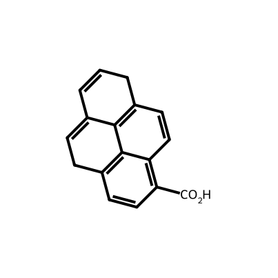 O=C(O)c1ccc2c3c4c(ccc13)CC=CC4=CC2